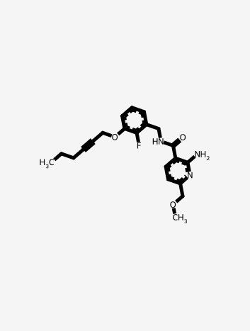 CCCC#CCOc1cccc(CNC(=O)c2ccc(COC)nc2N)c1F